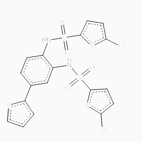 O=S(=O)(Nc1ccc(-c2cccs2)cc1NS(=O)(=O)c1ccc(Cl)s1)c1ccc(Cl)s1